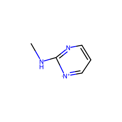 CNC1=NC=CC=[N+]1